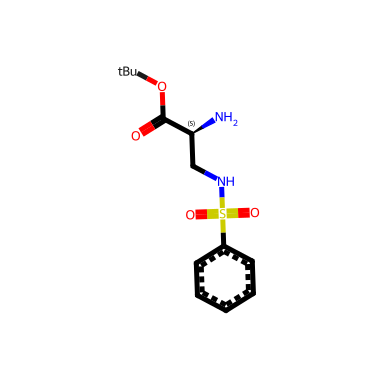 CC(C)(C)OC(=O)[C@@H](N)CNS(=O)(=O)c1ccccc1